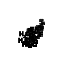 Cc1[nH]nc(Cl)c1NC(=O)c1cc(F)c(-c2cnc(C3CC3)cn2)cc1O[C@@H](C)C(F)(F)F